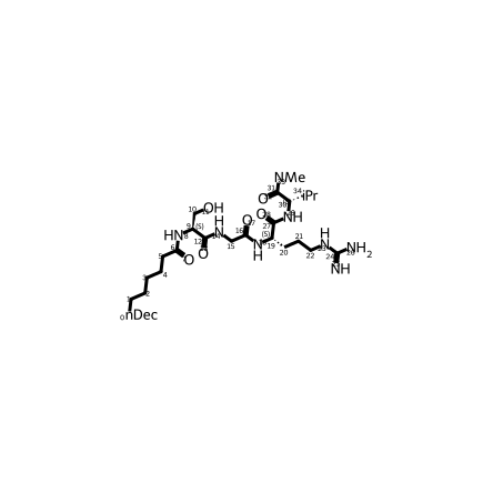 CCCCCCCCCCCCCCCC(=O)N[C@@H](CO)C(=O)NCC(=O)N[C@@H](CCCNC(=N)N)C(=O)N[C@H](C(=O)NC)C(C)C